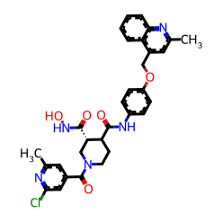 Cc1cc(C(=O)N2CCC(C(=O)Nc3ccc(OCc4cc(C)nc5ccccc45)cc3)[C@@H](C(=O)NO)C2)cc(Cl)n1